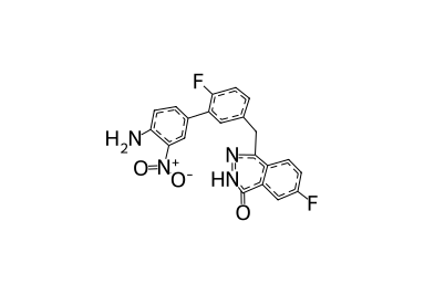 Nc1ccc(-c2cc(Cc3n[nH]c(=O)c4cc(F)ccc34)ccc2F)cc1[N+](=O)[O-]